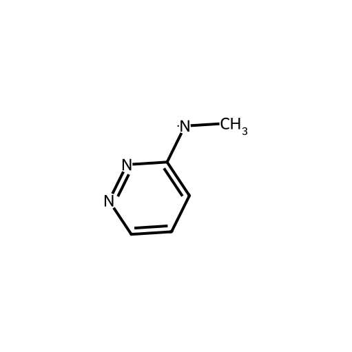 C[N]c1cccnn1